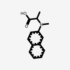 CC(C(=O)O)N(C)c1ccc2ccccc2c1